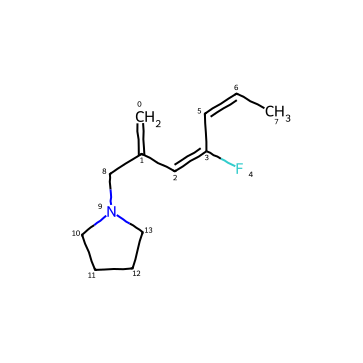 C=C(/C=C(F)\C=C/C)CN1CCCC1